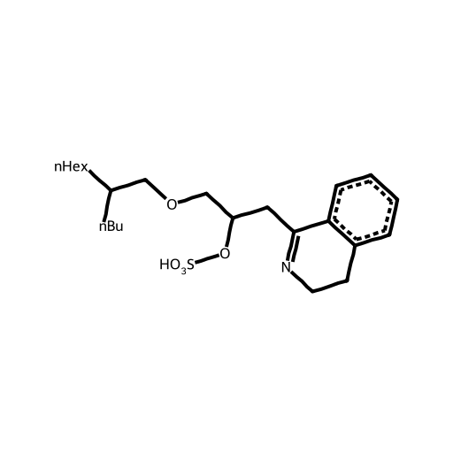 CCCCCCC(CCCC)COCC(CC1=NCCc2ccccc21)OS(=O)(=O)O